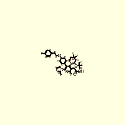 Cc1nc(-n2ccnc2C)c(-c2ccc(OCCc3ccc(F)cc3)cc2)c(N2CCC(C)(C)CC2)c1[C@H](OC(C)(C)C)C(=O)O